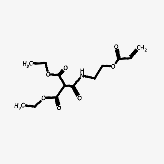 C=CC(=O)OCCNC(=O)C(C(=O)OCC)C(=O)OCC